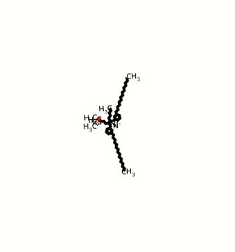 CCCCCCCCCCCCCCCCc1cccc(C2=C(CCCC)C(CCCCC)=C(c3cccc(CCCCCCCCCCCCCCCC)c3)[N+]2=[N-])c1.C[CH2][Pd][CH2]C